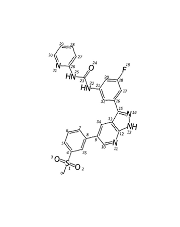 CS(=O)(=O)c1cccc(-c2cnc3[nH]nc(-c4cc(F)cc(NC(=O)Nc5ccccn5)c4)c3c2)c1